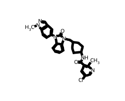 Cc1ncc(Cl)cc1C(=O)NC1CCC(Cn2c(=O)n(-c3ccc4c(cnn4C)c3)c3ccccc32)CC1